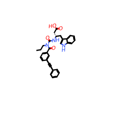 CCCN(C(=O)N[C@H](CC(=O)O)Cc1c[nH]c2ccccc12)C(=O)c1cccc(C#Cc2ccccc2)c1